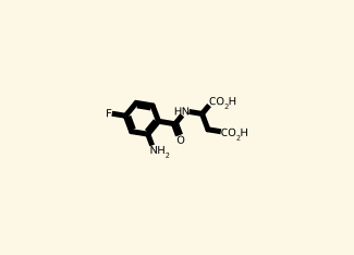 Nc1cc(F)ccc1C(=O)NC(CC(=O)O)C(=O)O